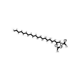 CCCCCCCCCCCCCCCCCCC(COC(C)=O)OC(C)=O